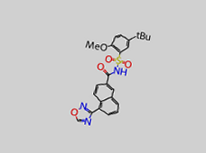 COc1ccc(C(C)(C)C)cc1S(=O)(=O)NC(=O)c1ccc2c(-c3ncon3)cccc2c1